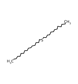 CCCCCCCCCCCCCCCCSCCCCCCCCCCCCC